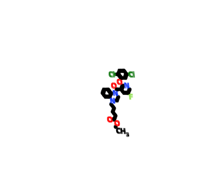 CCOC(=O)CCCCN1CCN(C(=O)c2cc(F)cnc2Oc2cc(Cl)ccc2Cl)c2ccccc21